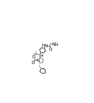 CNCC(=O)Nc1ccc(C2[C@@H]3CC[C@H](Cc4ccccc4)N3C(=O)OC2(C)C)cc1